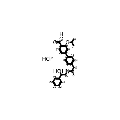 CC(C)Oc1cc(-c2ccc(C[C@@H](C)NC[C@H](O)c3ccccc3)cc2)ccc1C(=O)O.Cl